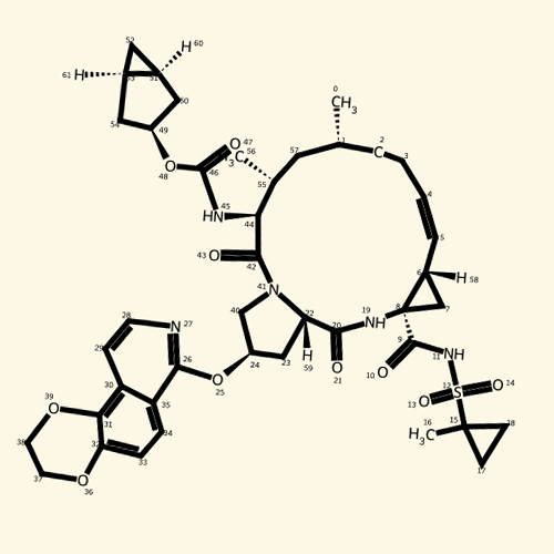 C[C@@H]1CC/C=C\[C@@H]2C[C@@]2(C(=O)NS(=O)(=O)C2(C)CC2)NC(=O)[C@@H]2C[C@@H](Oc3nccc4c5c(ccc34)OCCO5)CN2C(=O)[C@@H](NC(=O)O[C@@H]2C[C@@H]3C[C@@H]3C2)[C@H](C)C1